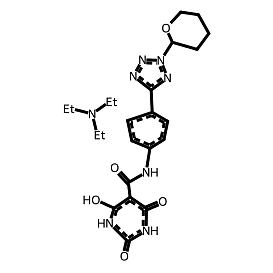 CCN(CC)CC.O=C(Nc1ccc(-c2nnn(C3CCCCO3)n2)cc1)c1c(O)[nH]c(=O)[nH]c1=O